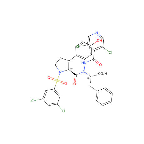 O=C(NN(C(=O)[C@@H]1C(c2ccc(O)cc2)CCN1S(=O)(=O)c1cc(Cl)cc(Cl)c1)[C@@H](Cc1ccccc1)C(=O)O)c1c(Cl)cncc1Cl